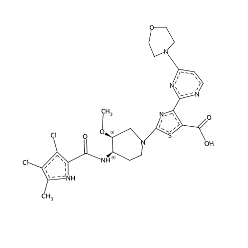 CO[C@H]1CN(c2nc(-c3nccc(N4CCOCC4)n3)c(C(=O)O)s2)CC[C@H]1NC(=O)c1[nH]c(C)c(Cl)c1Cl